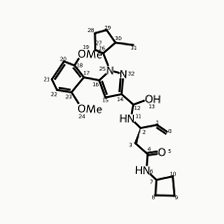 C=C[C@@H](CC(=O)NC1CCC1)NC(O)c1cc(-c2c(OC)cccc2OC)n(C2CCCC2C)n1